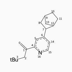 C=C(CC(C)(C)C)c1cc(C2CC3CCC2C3)ccn1